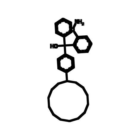 NOc1ccccc1C(O)(c1ccccc1)c1ccc(C2CCCCCCCCCCCCC2)cc1